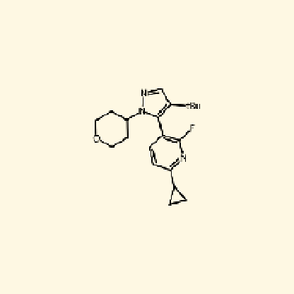 CC(C)(C)c1cnn(C2CCOCC2)c1-c1ccc(C2CC2)nc1F